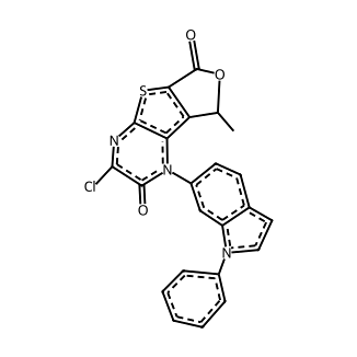 CC1OC(=O)c2sc3nc(Cl)c(=O)n(-c4ccc5ccn(-c6ccccc6)c5c4)c3c21